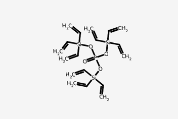 C=C[Si](C=C)(C=C)OP(=O)(O[Si](C=C)(C=C)C=C)O[Si](C=C)(C=C)C=C